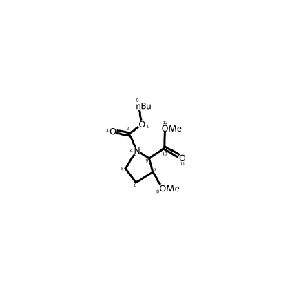 CCCCOC(=O)N1CCC(OC)C1C(=O)OC